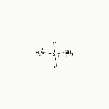 C[Si](C)([SiH3])[SiH3]